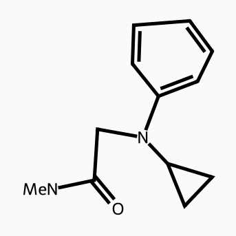 CNC(=O)CN(c1ccccc1)C1CC1